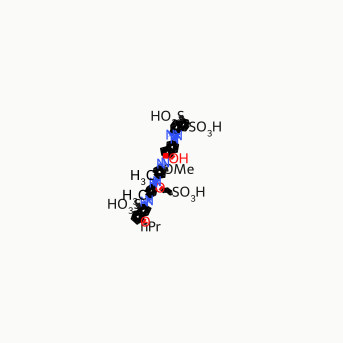 CCCOc1cccc2c(S(=O)(=O)O)c(N=Nc3cc(OCCCS(=O)(=O)O)c(N=Nc4cc(OC)c(N=Nc5ccc6cc(-n7nc8ccc9c(c8n7)C=C(S(=O)(=O)O)CC9S(=O)(=O)O)ccc6c5O)cc4C)cc3C)ccc12